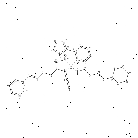 O=C=C(CCCC=Cc1cccnc1)C(NCCCCC1CCCCC1)(C(=O)O)c1ccccc1-c1ncco1